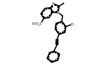 CCOC(=O)c1ccc2nc(C)n(Cc3ccc(C#Cc4ccccc4)cc3Cl)c2c1